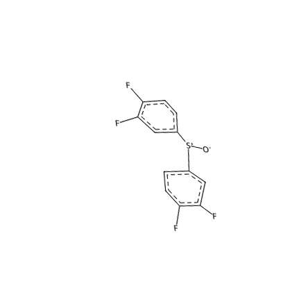 [O-][S+](c1ccc(F)c(F)c1)c1ccc(F)c(F)c1